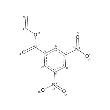 C=COC(=O)c1cc([N+](=O)[O-])cc([N+](=O)[O-])c1